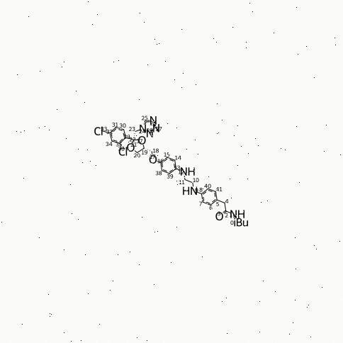 CCC(C)NC(=O)Cc1ccc(NCCNc2ccc(OC[C@@H]3CO[C@@](Cn4cnnn4)(c4ccc(Cl)cc4Cl)O3)cc2)cc1